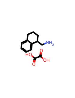 NCC1CCCc2ccccc21.O=C(O)C(=O)O